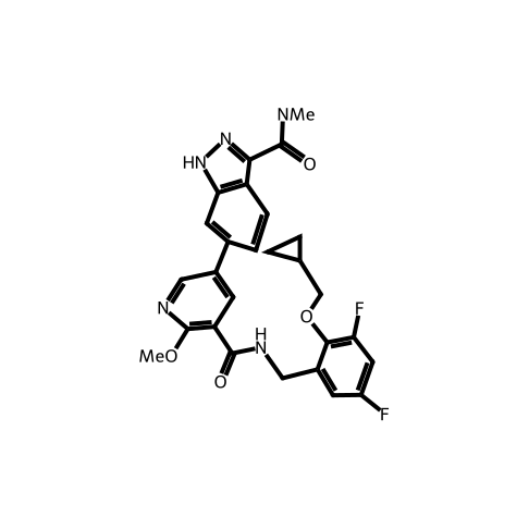 CNC(=O)c1n[nH]c2cc(-c3cnc(OC)c(C(=O)NCc4cc(F)cc(F)c4OCC4CC4)c3)ccc12